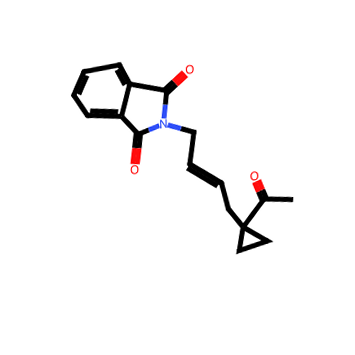 CC(=O)C1(CC=CCN2C(=O)c3ccccc3C2=O)CC1